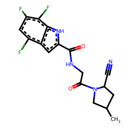 CC1CC(C#N)N(C(=O)CNC(=O)c2cc3c(F)cc(F)c(F)c3[nH]2)C1